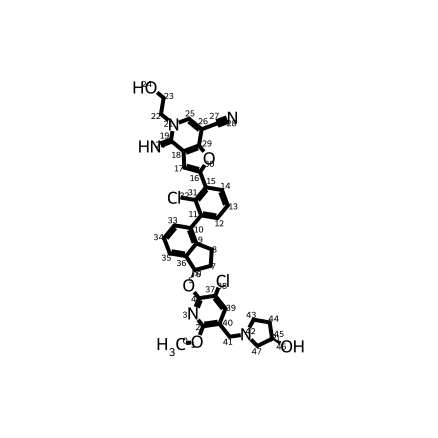 COc1nc(O[C@H]2CCc3c(-c4cccc(-c5cc6c(=N)n(CCO)cc(C#N)c6o5)c4Cl)cccc32)c(Cl)cc1CN1CC[C@@H](O)C1